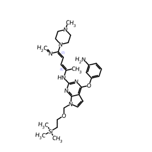 C=N/C(=C\C=C(/C)Nc1nc(Oc2cccc(N)c2)c2ccn(COCC[Si](C)(C)C)c2n1)N1CCN(C)CC1